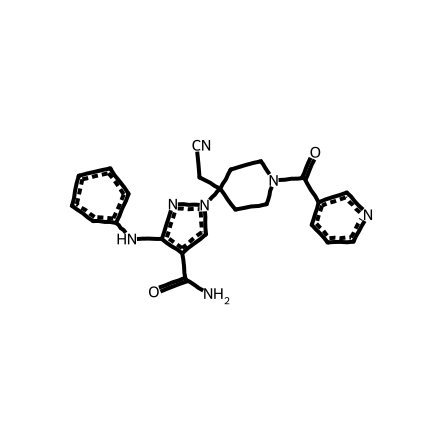 N#CCC1(n2cc(C(N)=O)c(Nc3ccccc3)n2)CCN(C(=O)c2cccnc2)CC1